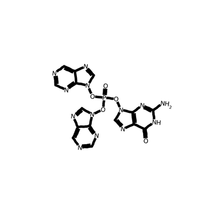 Nc1nc2c(ncn2OP(=O)(On2cnc3cncnc32)On2cnc3cncnc32)c(=O)[nH]1